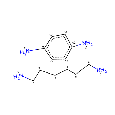 NCCCCCCN.Nc1ccc(N)cc1